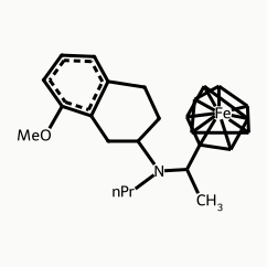 CCCN(C1CCc2cccc(OC)c2C1)C(C)[C]12[CH]3[CH]4[CH]5[CH]1[Fe]45321678[CH]2[CH]1[CH]6[CH]7[CH]28